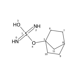 N=S(=N)(O)OC12CCC(CC1)C2